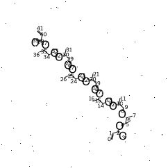 C=CC(=O)OCC(C)OCC(C)OOCC(C)OOCC(C)OOCC(C)OOCC(C)OOCC(C)OC(=O)C=C